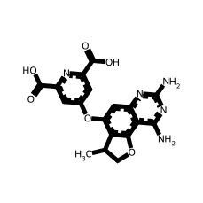 CC1COc2c1c(Oc1cc(C(=O)O)nc(C(=O)O)c1)cc1nc(N)nc(N)c21